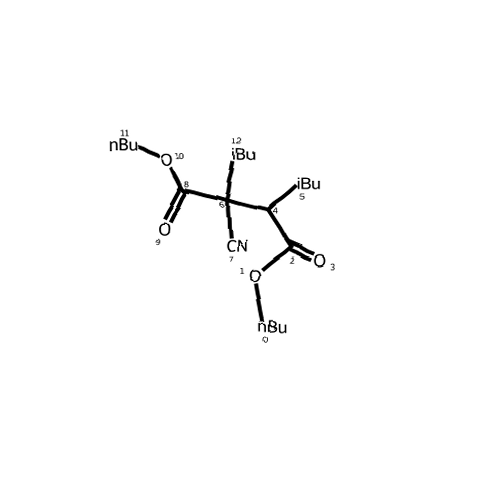 CCCCOC(=O)C(C(C)CC)C(C#N)(C(=O)OCCCC)C(C)CC